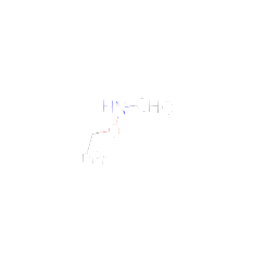 CCCCON[C]=O